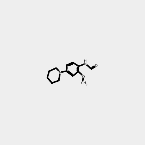 COc1cc(N2CCCCC2)ccc1NC=O